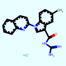 Cc1ccc2c(c1)c(C(=O)NC(=N)N)cn2-c1ccc2ccccc2n1.Cl